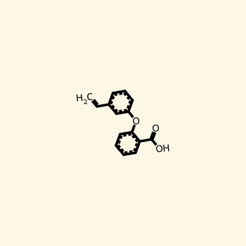 C=Cc1cccc(Oc2ccccc2C(=O)O)c1